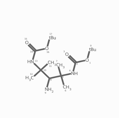 CC(C)(C)OC(=O)NC(C)(C)C(N)C(C)(C)NC(=O)OC(C)(C)C